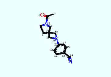 CC(=O)N1CCC2(C1)CN(c1ccc(C#N)cc1)C2